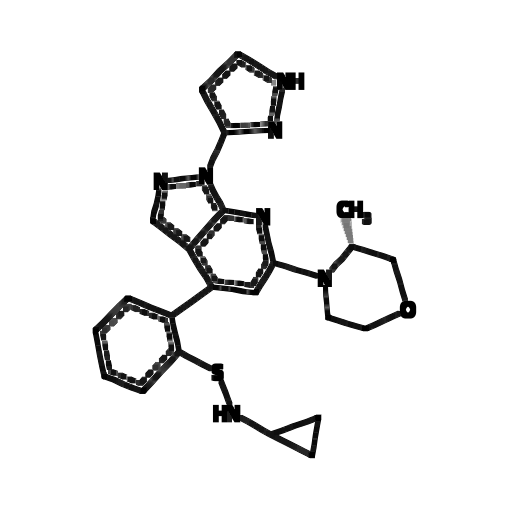 C[C@@H]1COCCN1c1cc(-c2ccccc2SNC2CC2)c2cnn(-c3cc[nH]n3)c2n1